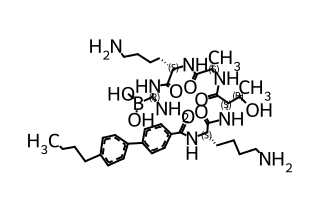 CCCCc1ccc(-c2ccc(C(=O)N[C@@H](CCCCN)C(=O)N[C@H](C(=O)N[C@@H](C)C(=O)N[C@@H](CCCCN)C(=O)N[C@@H](N)B(O)O)[C@@H](C)O)cc2)cc1